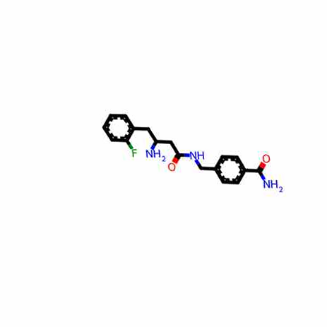 NC(=O)c1ccc(CNC(=O)CC(N)Cc2ccccc2F)cc1